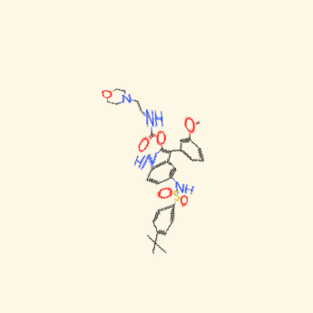 COc1cccc(-c2c(OC(=O)NCCN3CCOCC3)[nH]c3ccc(NS(=O)(=O)c4ccc(C(C)(C)C)cc4)cc23)c1